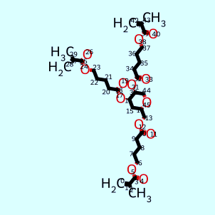 C=C(C)C(=O)OCCCCC(=O)OCC1C[C@H](OC(=O)CCCCOC(=O)C(=C)C)[C@H](OC(=O)CCCCOC(=O)C(=C)C)CO1